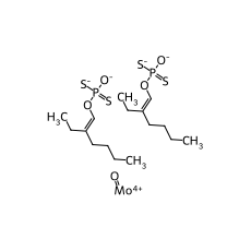 CCCCC(=COP([O-])(=S)[S-])CC.CCCCC(=COP([O-])(=S)[S-])CC.[O]=[Mo+4]